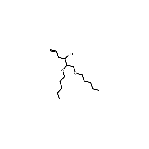 C=CCC(O)C(COCCCCC)OCCCCC